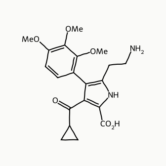 COc1ccc(-c2c(CCN)[nH]c(C(=O)O)c2C(=O)C2CC2)c(OC)c1OC